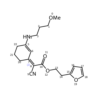 COCCCNC1=C/C(=C(/C#N)C(=O)OCCc2ccco2)CCC1